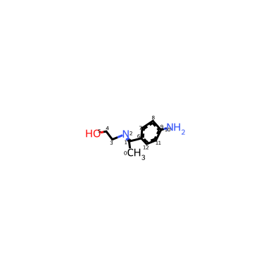 C/C(=N\CCO)c1ccc(N)cc1